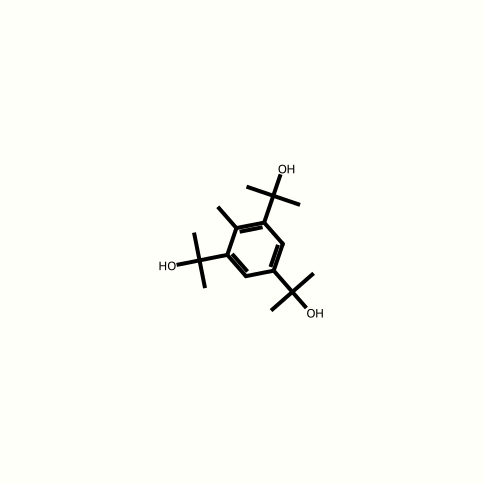 Cc1c(C(C)(C)O)cc(C(C)(C)O)cc1C(C)(C)O